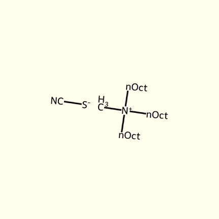 CCCCCCCC[N+](C)(CCCCCCCC)CCCCCCCC.N#C[S-]